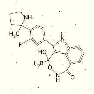 BC1(O)ONC(=O)c2cccc3[nH]c(-c4ccc(C5(C)CCCN5)c(F)c4)c1c23